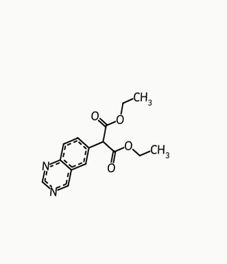 CCOC(=O)C(C(=O)OCC)c1ccc2ncncc2c1